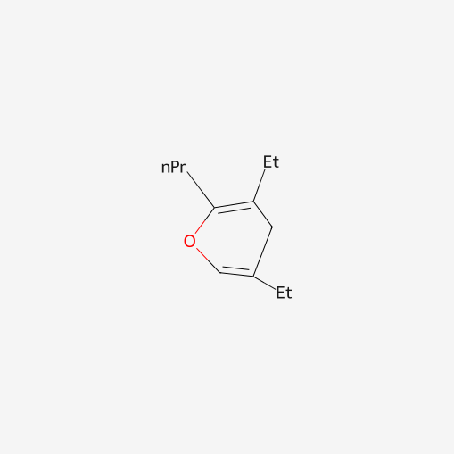 CCCC1=C(CC)CC(CC)=CO1